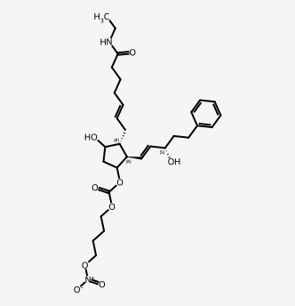 CCNC(=O)CCCC=CC[C@H]1C(O)CC(OC(=O)OCCCCO[N+](=O)[O-])[C@@H]1C=C[C@@H](O)CCc1ccccc1